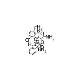 BC1(c2cc(Cl)ccc2F)OC(N)=C(OS(=O)(=O)C(B)(B)c2ccccc2)C1=O